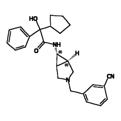 N#Cc1cccc(CN2CC3[C@H](C2)[C@H]3NC(=O)C(O)(c2ccccc2)C2CCCC2)c1